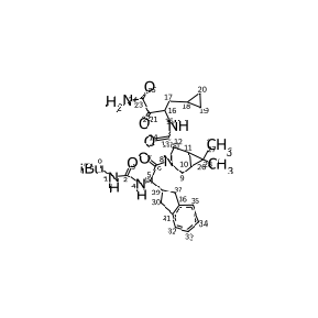 CCC(C)NC(=O)N[C@H](C(=O)N1CC2C([C@H]1C(=O)NC(CC1CC1)C(=O)C(N)=O)C2(C)C)C1Cc2ccccc2C1